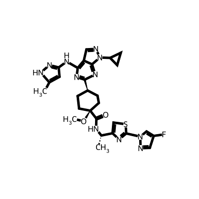 CO[C@]1(C(=O)N[C@@H](C)c2csc(-n3cc(F)cn3)n2)CC[C@H](c2nc(Nc3cc(C)[nH]n3)c3cnn(C4CC4)c3n2)CC1